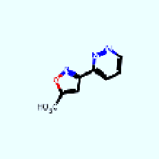 O=C(O)c1cc(-c2cccnn2)no1